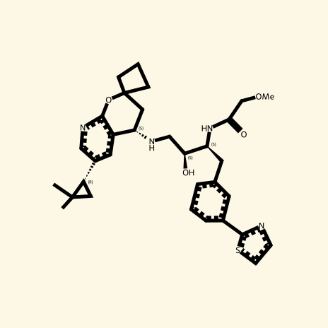 COCC(=O)N[C@@H](Cc1cccc(-c2nccs2)c1)[C@@H](O)CN[C@H]1CC2(CCC2)Oc2ncc([C@@H]3CC3(C)C)cc21